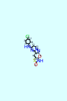 O=C1NC(=O)C(=Cc2cnn3ccc(Nc4ccc(Cl)cc4)nc23)S1